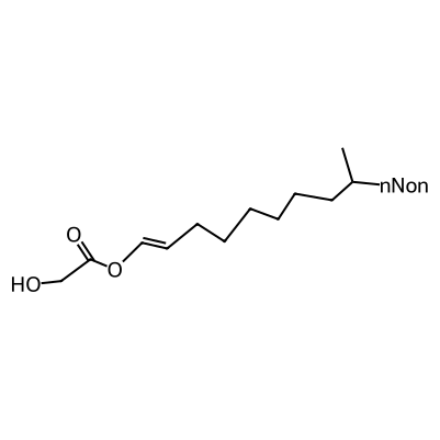 CCCCCCCCCC(C)CCCCCCC=COC(=O)CO